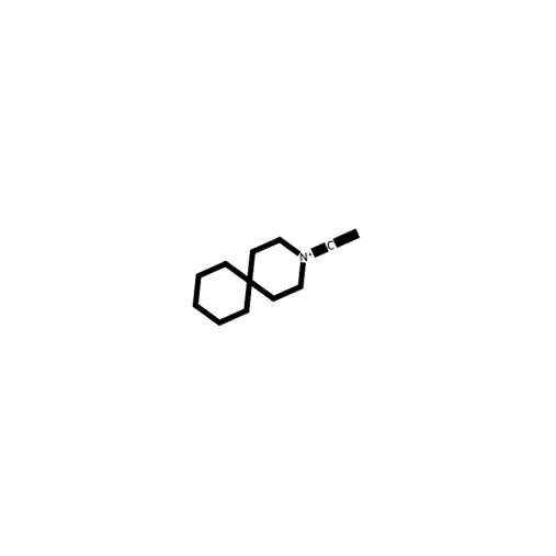 C=C=[N+]1CCC2(CCCCC2)CC1